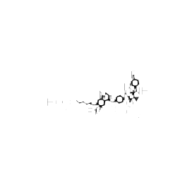 CCOc1cc2c(Oc3ccc(NC(=O)C4(C(=O)Nc5ccc(F)cc5)CC4)cc3F)ccnc2cc1OCCCCCC(=O)O.[CaH2]